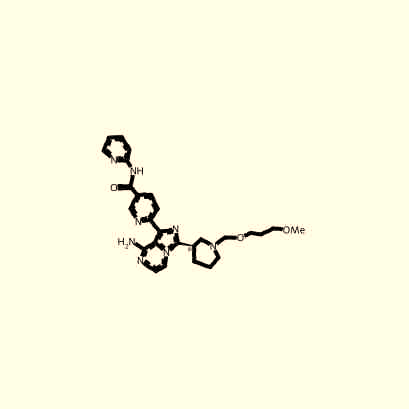 COCCCOCN1CCC[C@@H](c2nc(-c3ccc(C(=O)Nc4ccccn4)cn3)c3c(N)nccn23)C1